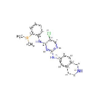 CP(C)c1ccccc1Nc1nc(Nc2ccc3c(c2)CCNC3)ncc1Cl